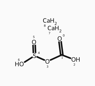 O=C(O)OS(=O)O.[CaH2].[CaH2]